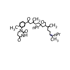 C=C(CCC1(CCC)CC(C(=C)CC/C=C(/C)CCC)CO1)CC(=O)c1ccc(C)c(N2CCC(=O)NC2=O)c1